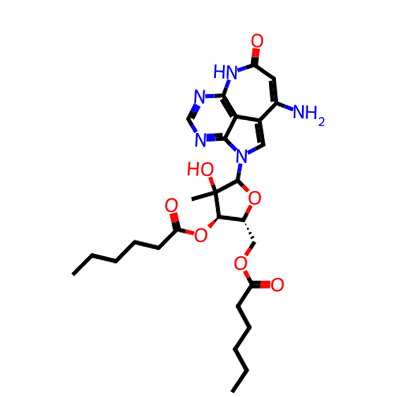 CCCCCC(=O)OC[C@H]1OC(n2cc3c4c(ncnc42)NC(=O)C=C3N)C(C)(O)[C@@H]1OC(=O)CCCCC